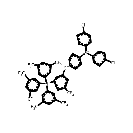 Clc1ccc([S+](c2ccccc2)c2ccc(Cl)cc2)cc1.FC(F)(F)c1cc([B-](c2cc(C(F)(F)F)cc(C(F)(F)F)c2)(c2cc(C(F)(F)F)cc(C(F)(F)F)c2)c2cc(C(F)(F)F)cc(C(F)(F)F)c2)cc(C(F)(F)F)c1